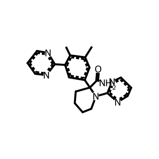 Cc1cc(C2(C(N)=O)CCCCN2c2ncccn2)cc(-c2ncccn2)c1C